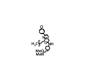 CNC(CN1CCC(NC(=O)CN2CC=C(C3=CCC=C(Cl)C=C3)N=C2CCCC(C)(F)F)CC1)OC